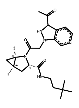 CC(=O)C1NN(CC(=O)N2[C@@H]3C[C@@H]3C[C@H]2C(=O)NCCC(C)(C)C)c2cnccc21